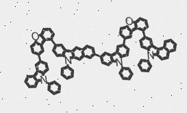 c1ccc(-n2c3ccccc3c3cc(-c4ccc5oc6cccc(-c7ccc8c(c7)c7cc9ccc(-c%10ccc%11c(c%10)c%10cc(-c%12ccc%13oc%14cccc(-c%15ccc%16c(c%15)c%15c%17ccccc%17ccc%15n%16-c%15ccccc%15)c%14c%13c%12)ccc%10n%11-c%10ccccc%10)cc9cc7n8-c7ccccc7)c6c5c4)ccc32)cc1